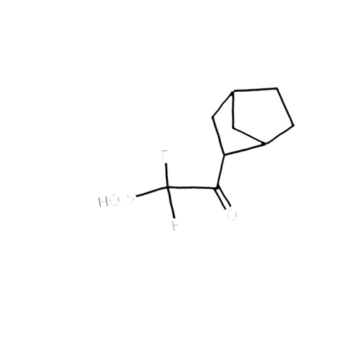 O=C(C1CC2CCC1C2)C(F)(F)S(=O)(=O)O